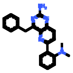 CN(C)c1ccccc1-c1ccc2nc(N)nc(Cc3ccccc3)c2n1